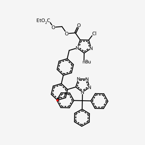 CCCCc1nc(Cl)c(C(=O)OCOC(=O)OCC)n1Cc1ccc(-c2ccccc2-c2nnnn2C(c2ccccc2)(c2ccccc2)c2ccccc2)cc1